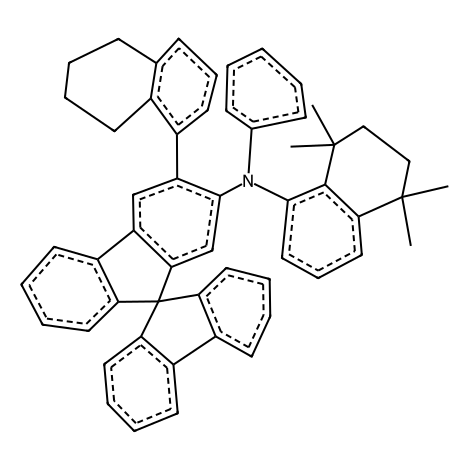 CC1(C)CCC(C)(C)c2c(N(c3ccccc3)c3cc4c(cc3-c3cccc5c3CCCC5)-c3ccccc3C43c4ccccc4-c4ccccc43)cccc21